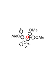 COc1ccc(C2(c3ccc(OC)cc3)C=Cc3c4c(c5cc(OC)c(-c6ccc(C)cc6)cc5c3O2)-c2ccccc2C42CC(C)(C)CC(C)(C)C2)cc1